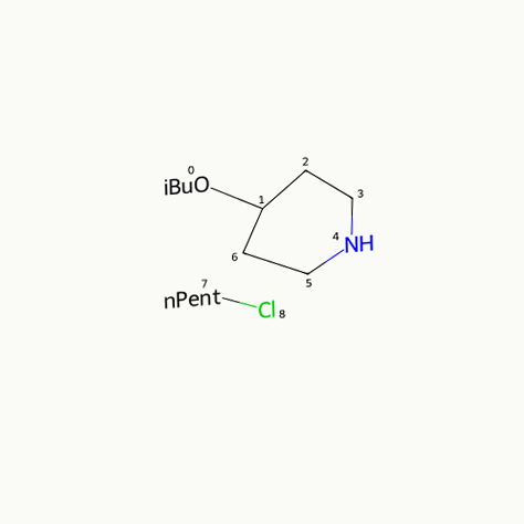 CC(C)COC1CCNCC1.CCCCCCl